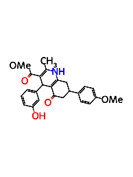 COC(=O)C1=C(C)NC2=C(C(=O)CC(c3ccc(OC)cc3)C2)C1c1cccc(O)c1